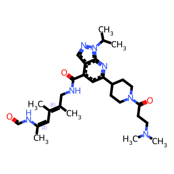 C/C(=C/C(C)=C(\C)CNC(=O)c1cc(C2CCN(C(=O)CCN(C)C)CC2)nc2c1cnn2C(C)C)NC=O